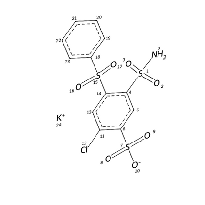 NS(=O)(=O)c1cc(S(=O)(=O)[O-])c(Cl)cc1S(=O)(=O)c1ccccc1.[K+]